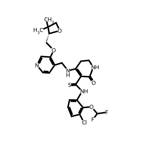 CC1(C)CO[C@@H]1COc1cnccc1CNC1=C(C(=S)Nc2cccc(Cl)c2OC(F)F)C(=O)NCC1